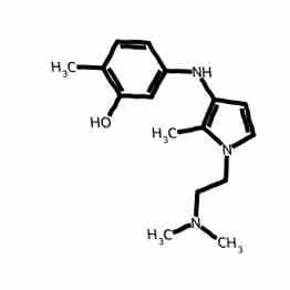 Cc1ccc(Nc2ccn(CCN(C)C)c2C)cc1O